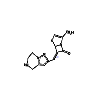 O=C(O)C1=CSC2/C(=C\c3cc4n(n3)CCNC4)C(=O)N12